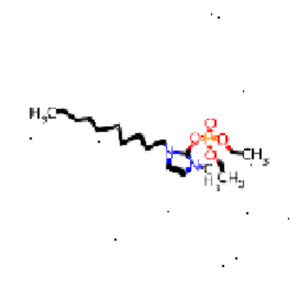 CCCCCCCCCCN1C=CN(C)C1OP(=O)(OCC)OCC